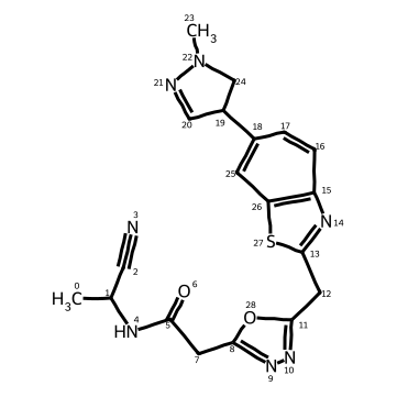 CC(C#N)NC(=O)Cc1nnc(Cc2nc3ccc(C4C=NN(C)C4)cc3s2)o1